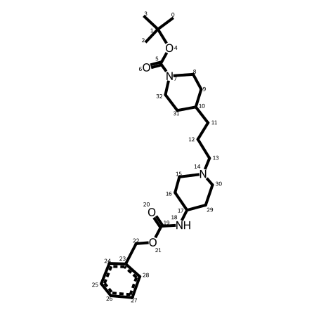 CC(C)(C)OC(=O)N1CCC(CCCN2CCC(NC(=O)OCc3ccccc3)CC2)CC1